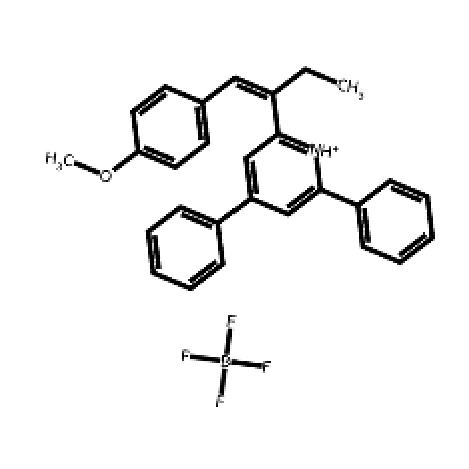 CCC(=Cc1ccc(OC)cc1)c1cc(-c2ccccc2)cc(-c2ccccc2)[nH+]1.F[B-](F)(F)F